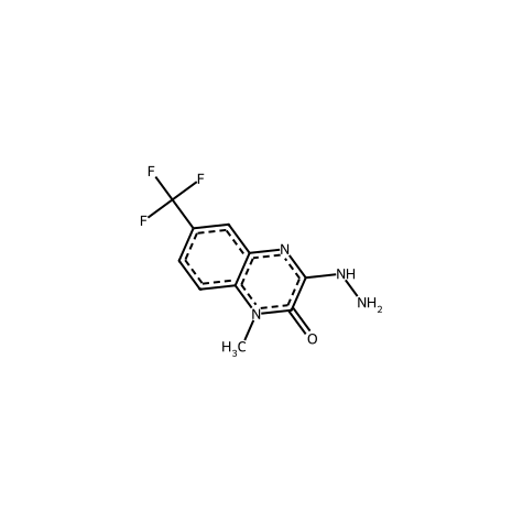 Cn1c(=O)c(NN)nc2cc(C(F)(F)F)ccc21